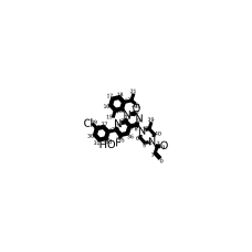 C=CC(=O)N1CCN(c2nc(=O)n(-c3c(C)cccc3C(C)C)c3nc(-c4cc(Cl)ccc4O)c(F)cc23)C(C)C1